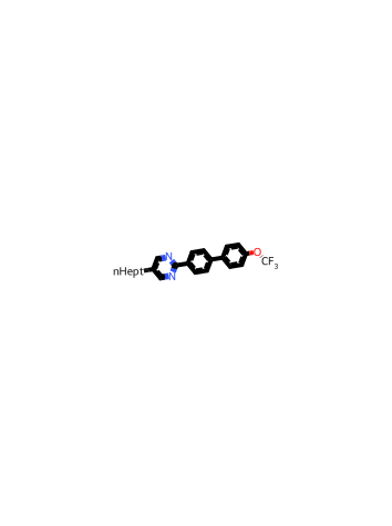 CCCCCCCc1cnc(-c2ccc(-c3ccc(OC(F)(F)F)cc3)cc2)nc1